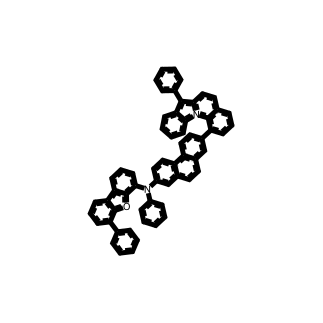 c1ccc(-c2cccc3c2oc2c(N(c4ccccc4)c4ccc5c(ccc6cc(-c7cccc8ccc9c(-c%10ccccc%10)c%10ccccc%10n9c78)ccc65)c4)cccc23)cc1